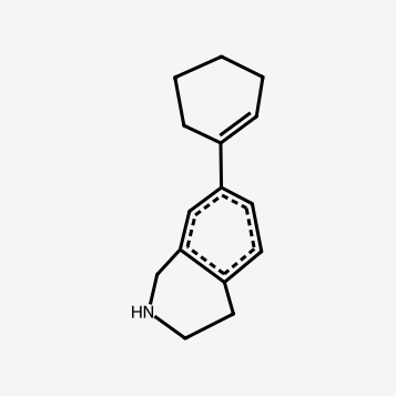 C1=C(c2ccc3c(c2)CNCC3)CCCC1